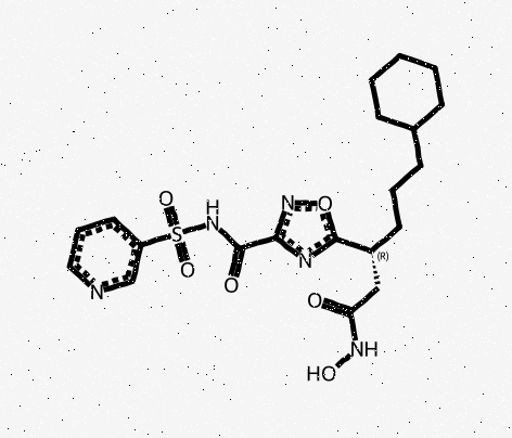 O=C(C[C@@H](CCCC1CCCCC1)c1nc(C(=O)NS(=O)(=O)c2cccnc2)no1)NO